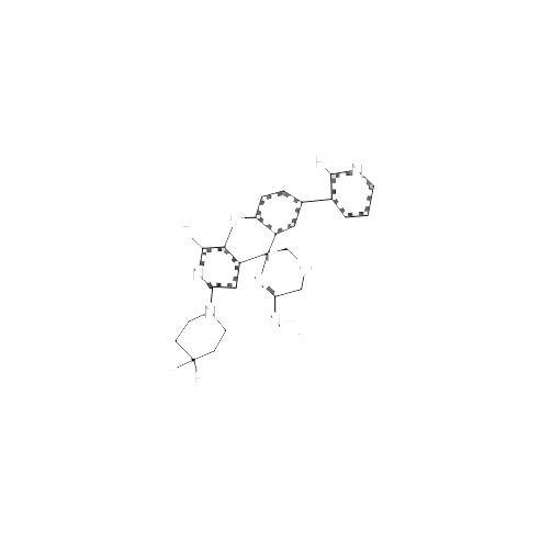 NC1=N[C@@]2(COC1)c1cc(-c3cccnc3F)ccc1Oc1c2cc(N2CCC(F)(F)CC2)nc1F